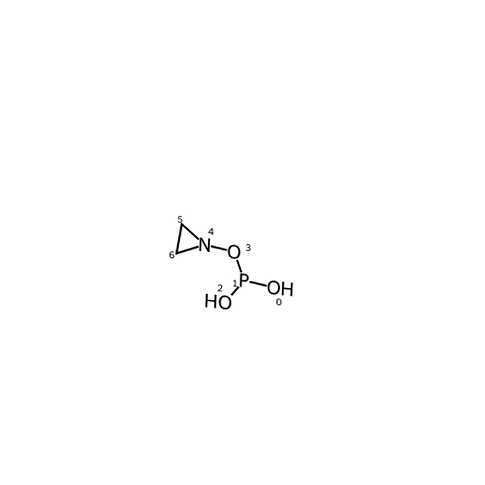 OP(O)ON1CC1